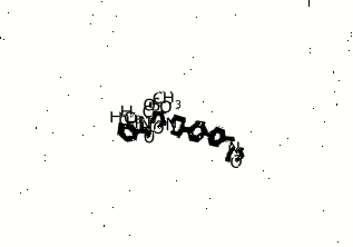 CC(CNC(=O)c1ccccc1O)(CC(O)N1CC=C(c2ccc(-c3ccc(CN4CCOCC4)cc3)cc2)CC1)S(C)(=O)=O